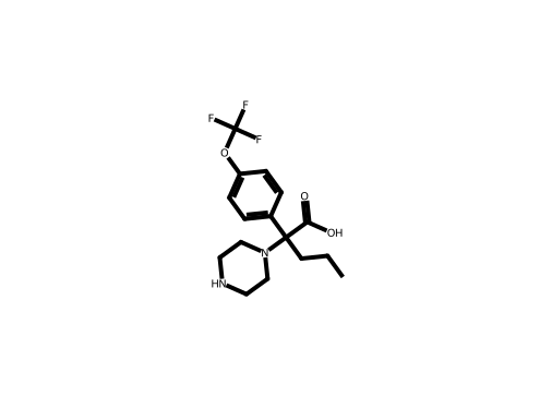 CCCC(C(=O)O)(c1ccc(OC(F)(F)F)cc1)N1CCNCC1